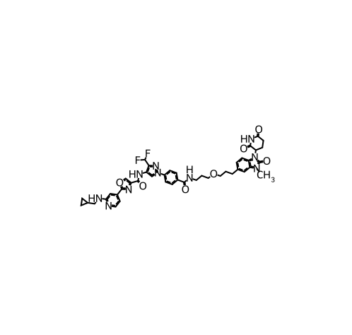 Cn1c(=O)n(C2CCC(=O)NC2=O)c2ccc(CCCOCCCNC(=O)c3ccc(-n4cc(NC(=O)c5coc(-c6ccnc(NCC7CC7)c6)n5)c(C(F)F)n4)cc3)cc21